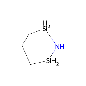 C1C[SiH2]N[SiH2]C1